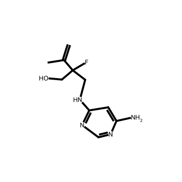 C=C(C)C(F)(CO)CNc1cc(N)ncn1